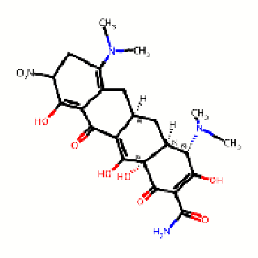 CN(C)C1=C2C[C@H]3C[C@H]4[C@H](N(C)C)C(O)=C(C(N)=O)C(=O)[C@@]4(O)C(O)=C3C(=O)C2=C(O)C([N+](=O)[O-])C1